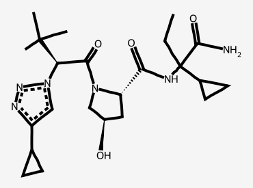 CCC(NC(=O)[C@@H]1C[C@@H](O)CN1C(=O)[C@@H](n1cc(C2CC2)nn1)C(C)(C)C)(C(N)=O)C1CC1